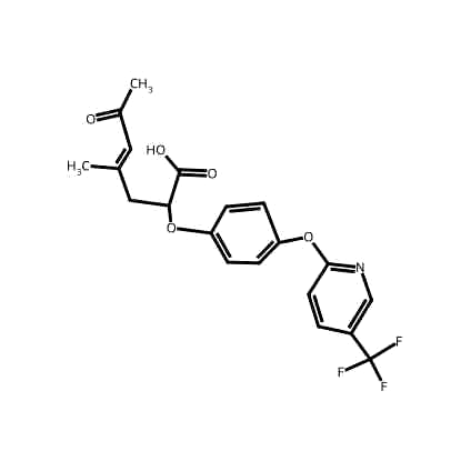 CC(=O)C=C(C)CC(Oc1ccc(Oc2ccc(C(F)(F)F)cn2)cc1)C(=O)O